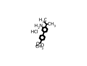 CCC(C)c1ccc(-c2ccc(C(=O)OC)cc2)cc1N.Cl